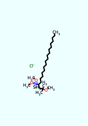 CCCCCCCCCCCCCCCCCCC(CC(C)(C)OC)[N+]([SiH3])(OC)OC.[Cl-]